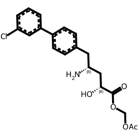 CC(=O)OCOC(=O)[C@H](O)C[C@H](N)Cc1ccc(-c2cccc(Cl)c2)cc1